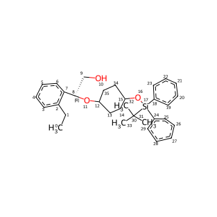 CCc1ccccc1[C@H](CO)OC1CCC(O[Si](c2ccccc2)(c2ccccc2)C(C)(C)C)CC1